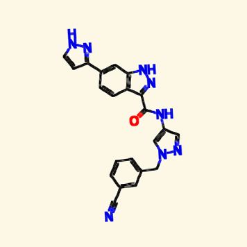 N#Cc1cccc(Cn2cc(NC(=O)c3n[nH]c4cc(-c5cc[nH]n5)ccc34)cn2)c1